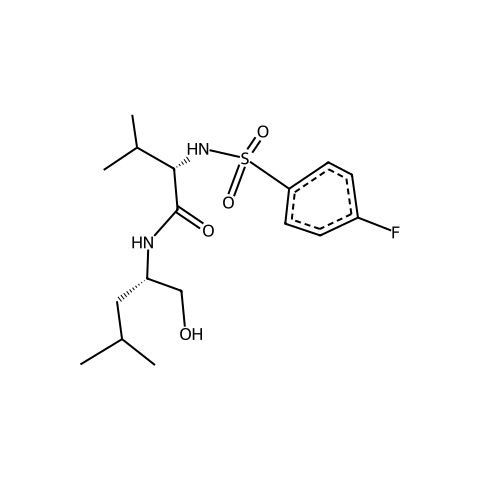 CC(C)C[C@@H](CO)NC(=O)[C@@H](NS(=O)(=O)c1ccc(F)cc1)C(C)C